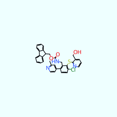 Cc1cc(-c2ccc(Cl)c(Sc3ncccc3CO)c2CNC(=O)OCC2c3ccccc3-c3ccccc32)ccn1